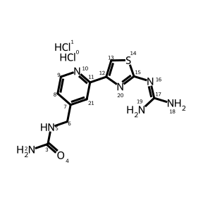 Cl.Cl.NC(=O)NCc1ccnc(-c2csc(N=C(N)N)n2)c1